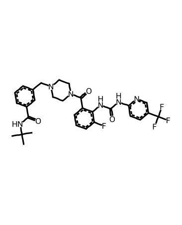 CC(C)(C)NC(=O)c1cccc(CN2CCN(C(=O)c3cccc(F)c3NC(=O)Nc3ccc(C(F)(F)F)cn3)CC2)c1